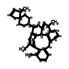 Bc1cc2c3nc1-c1c(B)cccc1Cc1ccnc4c1N3C(=CC4C)N=C2N1CCC2(CC=CC2=C)CC1